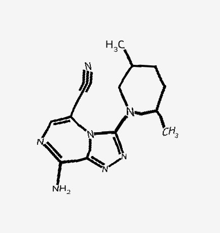 CC1CCC(C)N(c2nnc3c(N)ncc(C#N)n23)C1